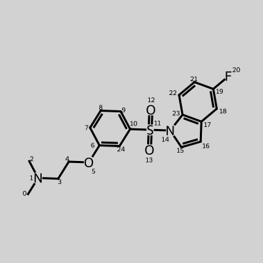 CN(C)CCOc1cccc(S(=O)(=O)n2ccc3cc(F)ccc32)c1